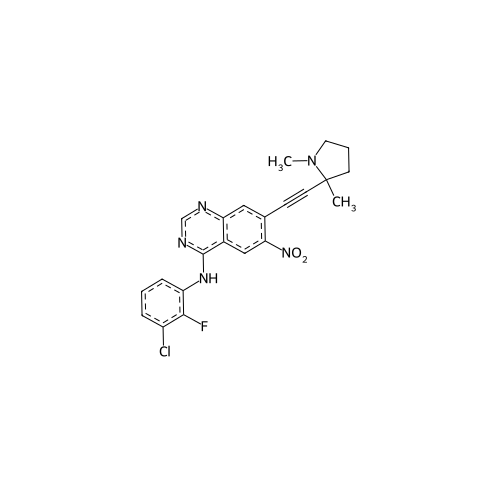 CN1CCCC1(C)C#Cc1cc2ncnc(Nc3cccc(Cl)c3F)c2cc1[N+](=O)[O-]